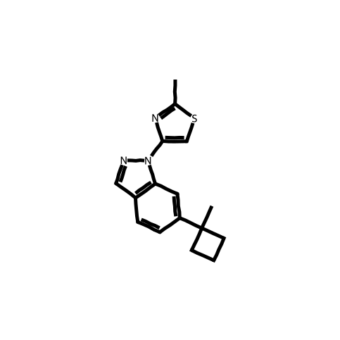 Cc1nc(-n2ncc3ccc(C4(C)CCC4)cc32)cs1